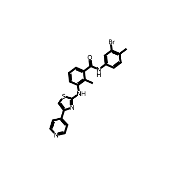 Cc1ccc(NC(=O)c2cccc(Nc3nc(-c4ccncc4)cs3)c2C)cc1Br